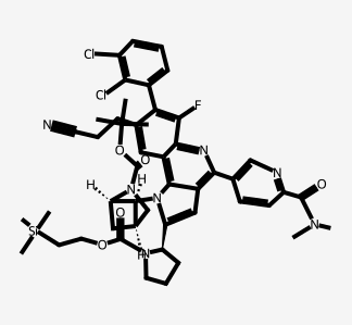 CN(C)C(=O)c1ccc(-c2nc3c(F)c(-c4cccc(Cl)c4Cl)c(CCC#N)cc3c3c2cc([C@H]2CCCN2C(=O)OCC[Si](C)(C)C)n3[C@H]2[C@@H]3C[C@H]2N(C(=O)OC(C)(C)C)C3)cn1